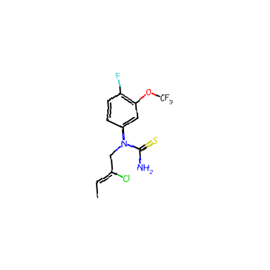 CC=C(Cl)CN(C(N)=S)c1ccc(F)c(OC(F)(F)F)c1